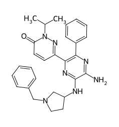 CC(C)n1nc(-c2nc(NC3CCN(Cc4ccccc4)C3)c(N)nc2-c2ccccc2)ccc1=O